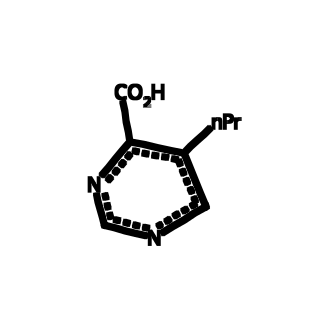 CCCc1cncnc1C(=O)O